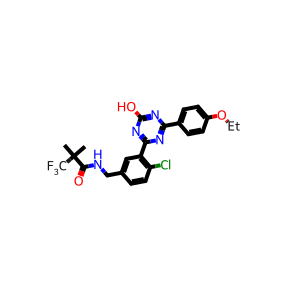 CCOc1ccc(-c2nc(O)nc(-c3cc(CNC(=O)C(C)(C)C(F)(F)F)ccc3Cl)n2)cc1